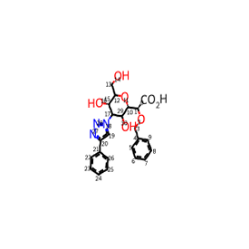 O=C(O)[C@@H](OCc1ccccc1)[C@@H]1OC(CO)[C@H](O)C(n2cc(-c3ccccc3)nn2)C1O